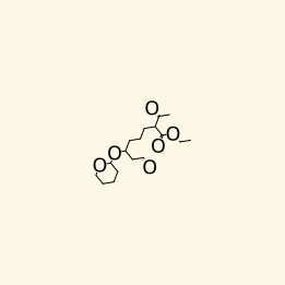 CCOC(=O)C(CCCC(CC=O)OC1CCCCO1)C(C)=O